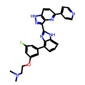 CN(C)CCOc1cc(F)cc(-c2cccc3[nH]c(-c4n[nH]c5ccc(-c6ccncc6)nc45)nc23)c1